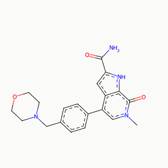 Cn1cc(-c2ccc(CN3CCOCC3)cc2)c2cc(C(N)=O)[nH]c2c1=O